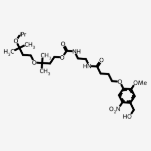 COc1cc(CO)c([N+](=O)[O-])cc1OCCCC(=O)NCCNC(=O)OCCC(C)(C)OCCC(C)(C)OC(C)C